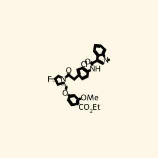 CCOC(=O)c1ccc(OC[C@@H]2C[C@H](F)CN2C(=O)Cc2ccc(NC(=O)c3cn(C)c4ccccc34)c(Cl)c2)cc1OC